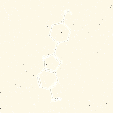 COc1ccc2oc(N3CCN(C)CC3)nc2c1